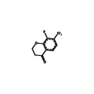 O=C1CCOc2c1ccc(C(F)(F)F)c2F